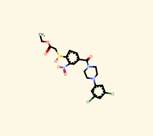 CCOC(=O)C[S+]([O-])c1ccc(C(=O)N2CCN(c3cc(Cl)cc(Cl)c3)CC2)cc1[N+](=O)[O-]